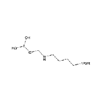 CCCCCCCCCNCOB(O)O